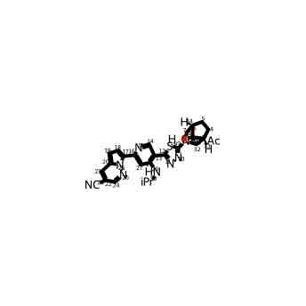 CC(=O)NC1(C)[C@@H]2CC[C@H]1CN(c1nnc(-c3cnc(-c4ccc5cc(C#N)cnn45)cc3NC(C)C)s1)C2